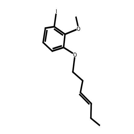 CCC=CCCOc1cccc(I)c1OC